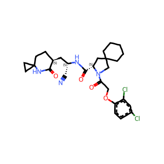 N#C[C@H](C[C@@H]1CCC2(CC2)NC1=O)NC(=O)[C@@H]1CC2(CCCCC2)CN1C(=O)COc1ccc(Cl)cc1Cl